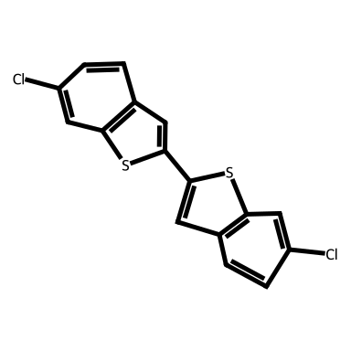 Clc1ccc2cc(-c3cc4ccc(Cl)cc4s3)sc2c1